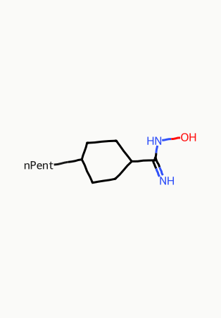 CCCCCC1CCC(C(=N)NO)CC1